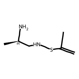 C=C(C)SNC[C@@H](C)N